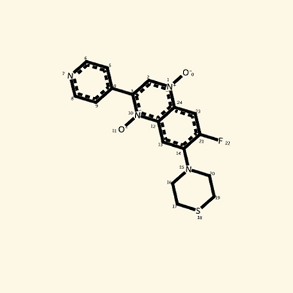 [O-][n+]1cc(-c2ccncc2)[n+]([O-])c2cc(N3CCSCC3)c(F)cc21